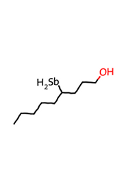 CCCCC[CH]([SbH2])CCCO